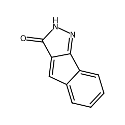 O=C1NN=C2C1=Cc1ccccc12